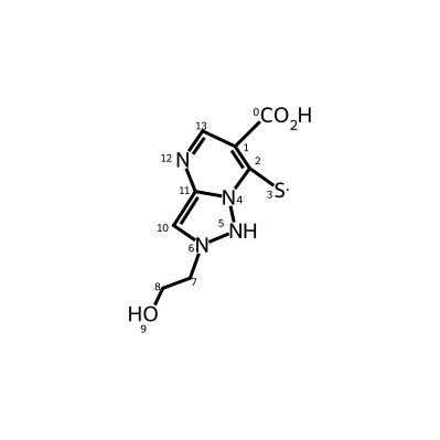 O=C(O)C1=C([S])N2NN(CCO)C=C2N=C1